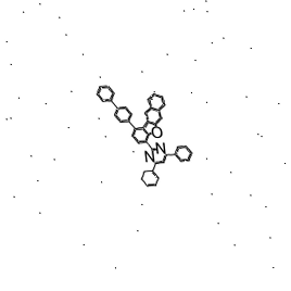 C1=CCCC(c2cc(-c3ccccc3)nc(-c3ccc(-c4ccc(-c5ccccc5)cc4)c4c3oc3cc5ccccc5cc34)n2)=C1